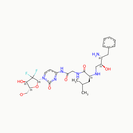 CC(C)C[C@H](NC[C@H](O)[C@H](N)Cc1ccccc1)C(=O)NCC(=O)Nc1ccn([C@@H]2O[C@H](C[O])[C@@H](O)C2(F)F)c(=O)n1